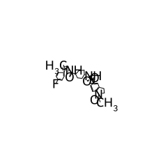 CC(=O)N1CCc2cc(S(=O)(=O)NC3CCC(C(=O)N[C@H](C)c4ccc(F)cc4)CC3)ccc21